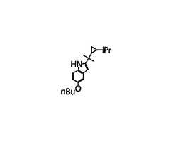 CCCCOc1ccc2[nH]c(C(C)(C)C3CC3C(C)C)cc2c1